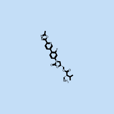 Cc1nnc(-c2ccc(-c3ccc(N4C[C@H](COC(=O)[C@@H](CN)C(C)C)OC4=O)cc3F)cn2)o1